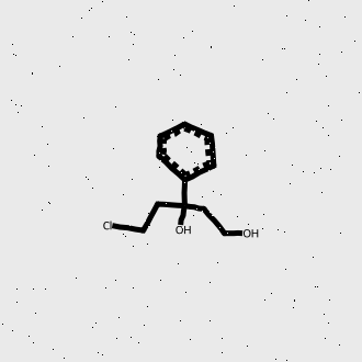 OCCC(O)(CCCl)c1ccccc1